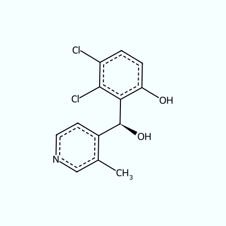 Cc1cnccc1[C@H](O)c1c(O)ccc(Cl)c1Cl